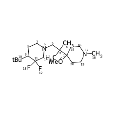 COC1(C(C)(C)CN2CCC(C(C)(C)C)C(F)(F)C2)CCN(C)CC1